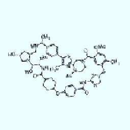 COc1cc(C)c(Sc2cnc(NC(=O)c3ccc(OC4CCC(C(=O)N[C@H](C(O)N5C[C@H](O)C[C@H]5CN[C@@H](C)c5ccc(-c6scnc6C)cc5)C(C)(C)C)CC4)cc3)s2)cc1C(=O)N1CCN(C(C)=O)CC1